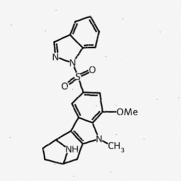 COc1cc(S(=O)(=O)n2ncc3ccccc32)cc2c3c(n(C)c12)CC1CCC3N1